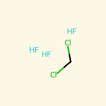 ClCCl.F.F.F